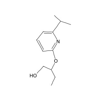 CCC(CO)Oc1cccc(C(C)C)n1